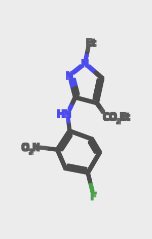 CCOC(=O)c1cn(CC)nc1Nc1ccc(F)cc1[N+](=O)[O-]